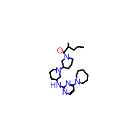 CCCC(C)C(=O)N1CCCC(N2CCCC(Nc3nccc(N4CCCCCC4)n3)C2)C1